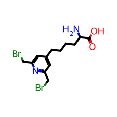 NC(CCCCc1cc(CBr)nc(CBr)c1)C(=O)O